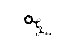 [CH2]CCCC(=O)OCC(=O)c1ccccc1